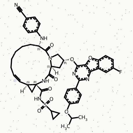 CC(C)Oc1ccc(-c2nc(O[C@@H]3C[C@H]4C(=O)N[C@]5(C(=O)NS(=O)(=O)C6CC6)C[C@H]5/C=C\CCCCC[C@H](Nc5ccc(C#N)cc5)C(=O)N4C3)c3oc4ccc(F)cc4c3n2)cc1